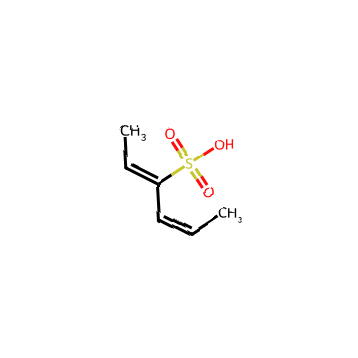 C/C=C\C(=C\C)S(=O)(=O)O